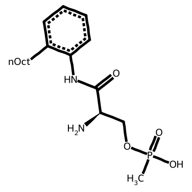 CCCCCCCCc1ccccc1NC(=O)[C@H](N)COP(C)(=O)O